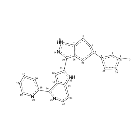 Cn1cc(-c2ccc3[nH]nc(-c4cc5c(-c6ccccn6)nccc5[nH]4)c3c2)cn1